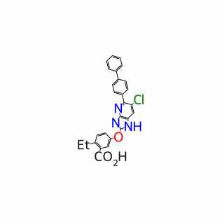 CCc1ccc(Oc2nc3nc(-c4ccc(-c5ccccc5)cc4)c(Cl)cc3[nH]2)cc1C(=O)O